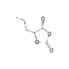 CCCC1OC(=O)OC1=O